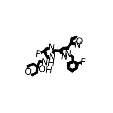 OC1(CNc2nc(-c3cc(-c4ccon4)n(Cc4ccccc4F)n3)ncc2F)CCOCC1